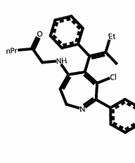 CCCC(=O)CNC1=CCN=C(c2ccccc2)C(Cl)=C1/C(=C(\C)CC)c1ccccc1